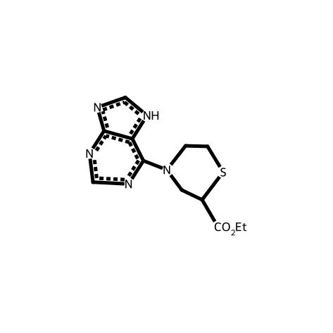 CCOC(=O)C1CN(c2ncnc3nc[nH]c23)CCS1